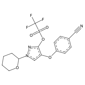 N#Cc1ccc(Oc2cn(C3CCCCO3)nc2OS(=O)(=O)C(F)(F)F)cc1